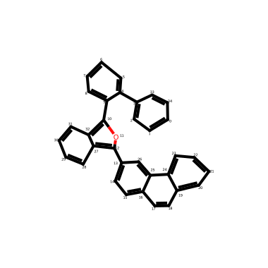 c1ccc(-c2ccccc2-c2oc(-c3ccc4ccc5ccccc5c4c3)c3ccccc23)cc1